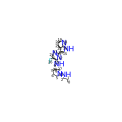 CCCNN1CCC[C@H](CNc2nc(-c3c[nH]c4ncccc34)ncc2F)C1